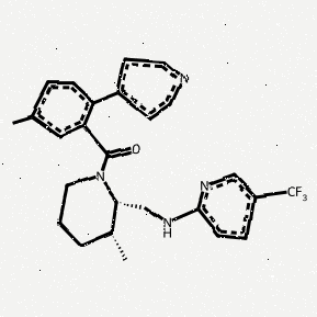 Cc1ccc(-c2ccncc2)c(C(=O)N2CCC[C@@H](C)[C@H]2CNc2ccc(C(F)(F)F)cn2)c1